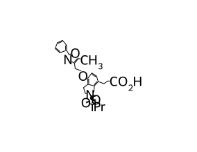 Cc1oc(-c2ccccc2)nc1CCOc1ccc(CCC(=O)O)c2c1CCN(S(=O)(=O)C(C)C)C2